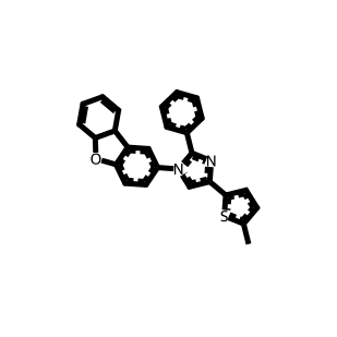 Cc1ccc(-c2cn(-c3ccc4c(c3)C3C=CC=CC3O4)c(-c3ccccc3)n2)s1